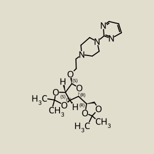 CC1(C)O[C@@H]2[C@H](O1)[C@@H](OCCN1CCN(c3ncccn3)CC1)O[C@@H]2[C@H]1COC(C)(C)O1